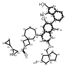 N#Cc1c(N)sc2cccc(-c3c(Cl)cc4c(N5CCCCC6(CN(C(=O)[C@@H]7N[C@H]7C7CC7)C6)C5)nc(OC[C@@]56CCCN5C[C@H](F)C6)nc4c3F)c12